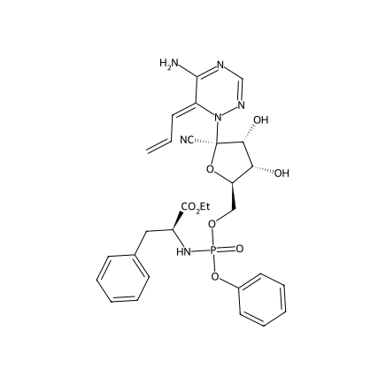 C=C/C=C1/C(N)=NC=NN1[C@]1(C#N)O[C@H](COP(=O)(N[C@@H](Cc2ccccc2)C(=O)OCC)Oc2ccccc2)[C@@H](O)[C@H]1O